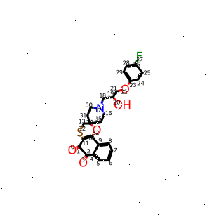 O=C1C(=O)c2ccccc2C2=C1SCC1(CCN(CC(O)COc3ccc(F)cc3)CC1)O2